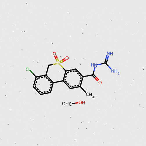 Cc1cc2c(cc1C(=O)NC(=N)N)S(=O)(=O)Cc1c(Cl)cccc1-2.O=CO